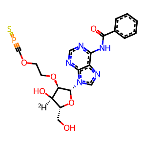 [2H][C@@]1(O)[C@@H](CO)O[C@@H](n2cnc3c(NC(=O)c4ccccc4)ncnc32)[C@@H]1OCCOC#P=S